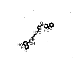 O=C(NCCCCNC[C@H](O)c1ccc(O)c2[nH]c(=O)ccc12)c1ccc(C(=O)N2CCC(C(=O)O)(c3ccccc3)CC2)s1